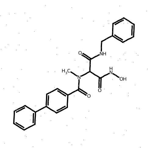 CN(C(=O)c1ccc(-c2ccccc2)cc1)C(C(=O)NO)C(=O)NCc1ccccc1